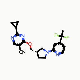 CC(F)(F)c1ccnc(N2CC[C@H](COc3nc(C4CC4)ncc3C#N)C2)c1